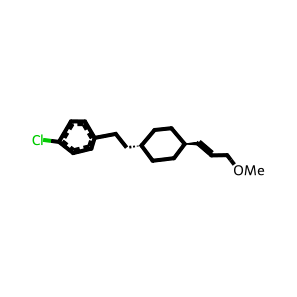 COCC=C[C@H]1CC[C@H](CCc2ccc(Cl)cc2)CC1